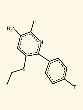 [CH2]c1nc(-c2ccc(F)cc2)c(SCC)cc1N